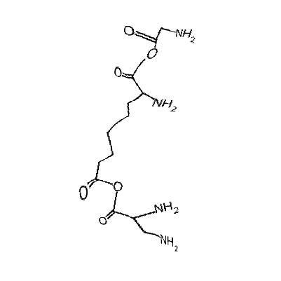 NCC(=O)OC(=O)C(N)CCCCCC(=O)OC(=O)C(N)CN